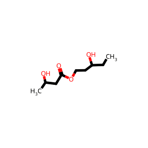 CCC(O)CCOC(=O)CC(C)O